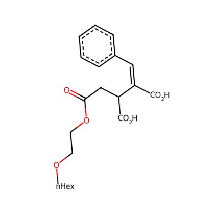 CCCCCCOCCOC(=O)CC(C(=O)O)C(=Cc1ccccc1)C(=O)O